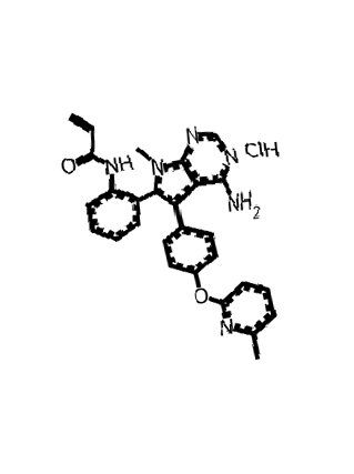 C=CC(=O)Nc1ccccc1-c1c(-c2ccc(Oc3cccc(C)n3)cc2)c2c(N)ncnc2n1C.Cl